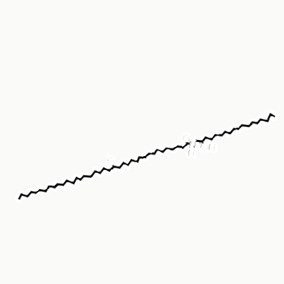 CCCCCCCCC=CCCCCCCCCCCCC(=O)CCCCCCCCCCCCCCCC(=O)NC[C@H](O)CCCCCCCCCCCCCCCC